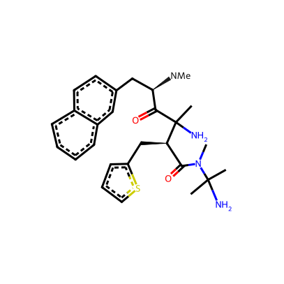 CN[C@H](Cc1ccc2ccccc2c1)C(=O)C(C)(N)[C@H](Cc1cccs1)C(=O)N(C)C(C)(C)N